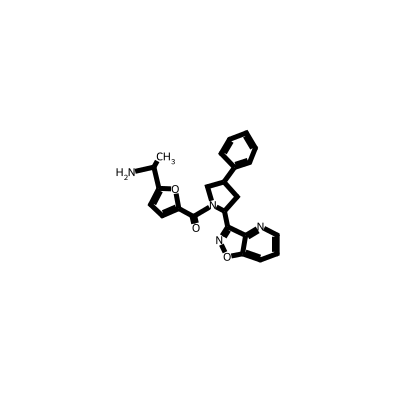 CC(N)c1ccc(C(=O)N2CC(c3ccccc3)CC2c2noc3cccnc23)o1